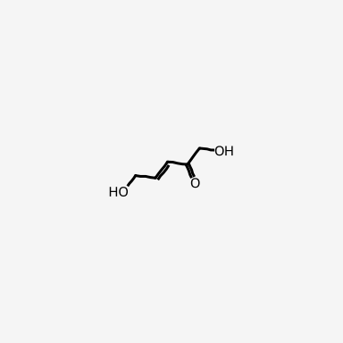 O=C(C=CCO)CO